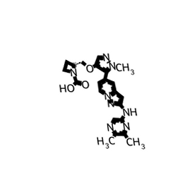 Cc1ncc(Nc2cc3cc(-c4c(OC[C@H]5CCN5C(=O)O)cnn4C)ccn3n2)nc1C